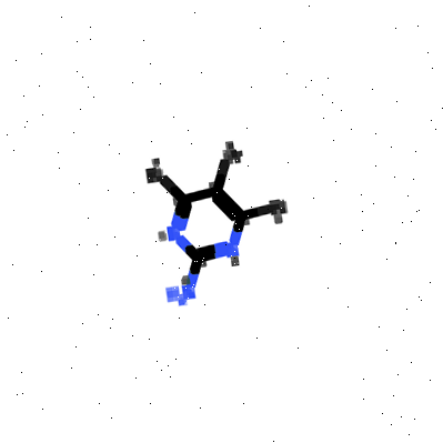 CCc1nc(N)nc(CC)c1C(C)C